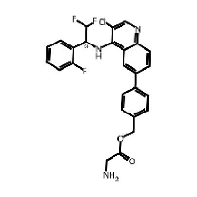 NCC(=O)OCc1ccc(-c2ccc3ncc(Cl)c(N[C@@H](c4ccccc4F)C(F)F)c3c2)cc1